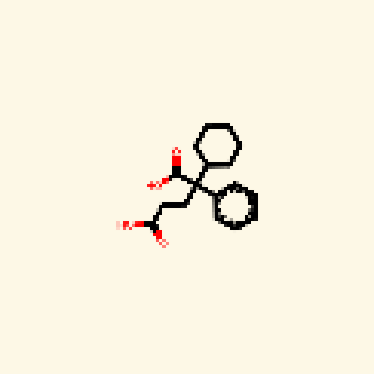 O=C(O)CCC(C(=O)O)(c1ccccc1)C1CCCCC1